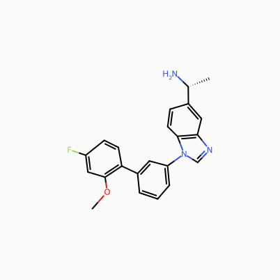 COc1cc(F)ccc1-c1cccc(-n2cnc3cc([C@@H](C)N)ccc32)c1